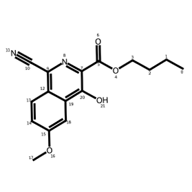 CCCCOC(=O)c1nc(C#N)c2ccc(OC)cc2c1O